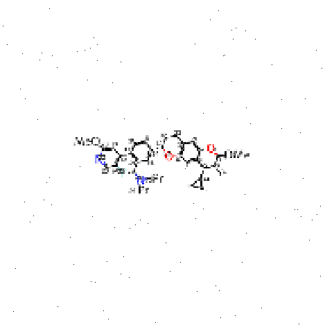 COC(=O)[C@@H](C)[C@H](c1ccc2c(c1)O[C@H](c1ccc(-c3cc(OC)ncc3F)c(CN(C(C)C)C(C)C)c1)CC2)C1CC1